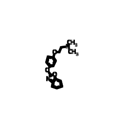 CN(C)CCOc1ccc(Oc2nc3ccccc3o2)cc1